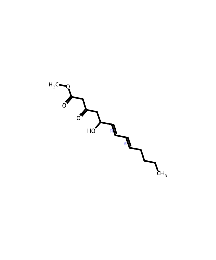 CCCC/C=C/C=C/C(O)CC(=O)CC(=O)OC